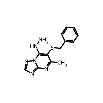 Cc1nc2ncnn2c(NN)c1SCc1ccccc1